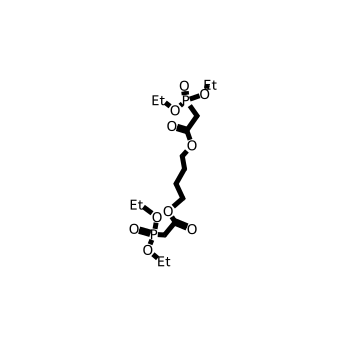 CCOP(=O)(CC(=O)OCCCCOC(=O)CP(=O)(OCC)OCC)OCC